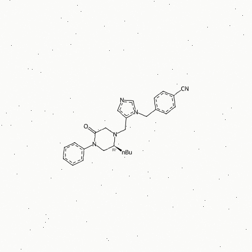 CCCC[C@H]1CN(c2ccccc2)C(=O)CN1Cc1cncn1Cc1ccc(C#N)cc1